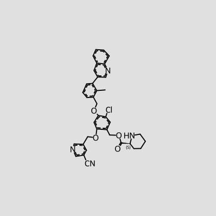 Cc1c(COc2cc(OCc3cncc(C#N)c3)c(COC(=O)[C@@H]3CCCCN3)cc2Cl)cccc1-c1cnc2ccccc2c1